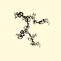 O=C(CCCO[N+](=O)[O-])NCCNCC(COc1cccc2c1CCC(=O)N2)OC(=O)/C=C/C(=O)OC(CNCCNC(=O)CCCO[N+](=O)[O-])COc1cccc2c1CCC(=O)N2